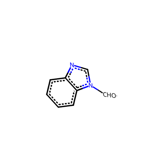 O=[C]n1cnc2ccccc21